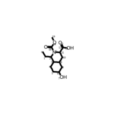 CCC1C2CCC(O)CC2CC(C(=O)O)N1C(=O)OC